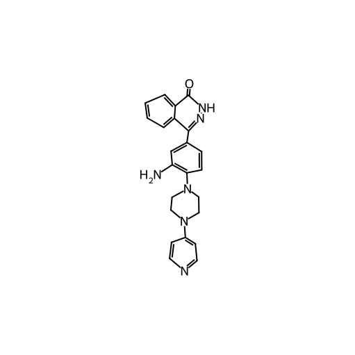 Nc1cc(-c2n[nH]c(=O)c3ccccc23)ccc1N1CCN(c2ccncc2)CC1